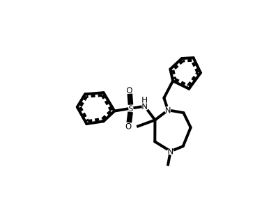 CN1CCCN(Cc2ccccc2)C(C)(NS(=O)(=O)c2ccccc2)C1